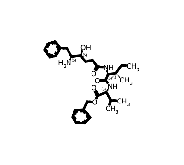 CC[C@H](C)[C@H](NC(=O)CC[C@H](O)[C@@H](N)Cc1ccccc1)C(=O)N[C@H](C(=O)OCc1ccccc1)C(C)C